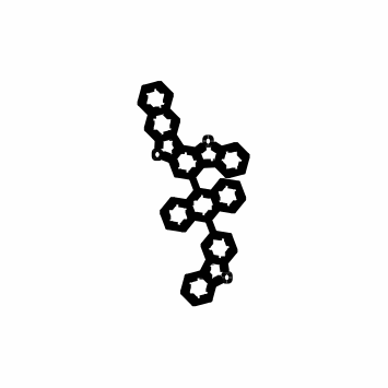 c1ccc2cc3c(cc2c1)oc1cc(-c2c4ccccc4c(-c4ccc5oc6ccccc6c5c4)c4ccccc24)c2c4ccccc4oc2c13